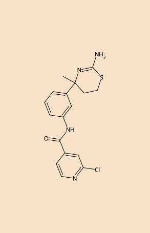 CC1(c2cccc(NC(=O)c3ccnc(Cl)c3)c2)CCSC(N)=N1